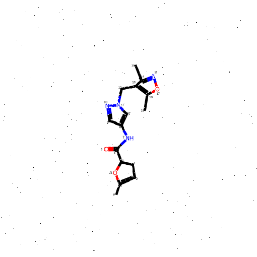 CC1=CCC(C(=O)Nc2cnn(Cc3c(C)noc3C)c2)O1